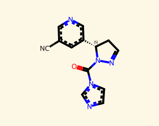 N#Cc1cncc([C@@H]2CC=NN2C(=O)n2ccnc2)c1